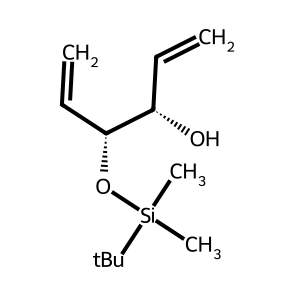 C=C[C@H](O)[C@@H](C=C)O[Si](C)(C)C(C)(C)C